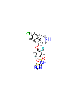 O=S(=O)(Nc1ncns1)c1cc(F)c(OCCC2(c3ccc(Cl)cc3)CCNCC2)cc1F